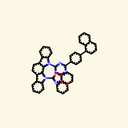 c1ccc(-c2nc(-c3ccc(-c4cccc5ccccc45)cc3)nc(-n3c4ccccc4c4ccc5c6ccccc6n(-c6nc7ccccc7o6)c5c43)n2)cc1